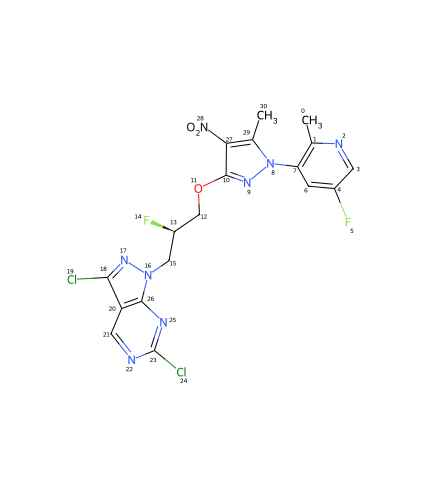 Cc1ncc(F)cc1-n1nc(OC[C@H](F)Cn2nc(Cl)c3cnc(Cl)nc32)c([N+](=O)[O-])c1C